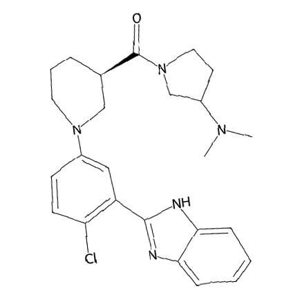 CN(C)C1CCN(C(=O)[C@@H]2CCCN(c3ccc(Cl)c(-c4nc5ccccc5[nH]4)c3)C2)C1